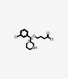 CCC(=O)CCCO[C@@H](c1cccc(Cl)c1)[C@@H]1CCCNC1